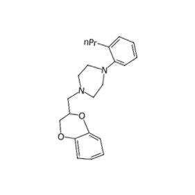 CCCc1ccccc1N1CCN(CC2COc3ccccc3O2)CC1